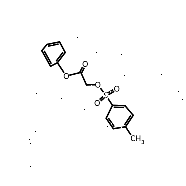 Cc1ccc(S(=O)(=O)OCC(=O)Oc2ccccc2)cc1